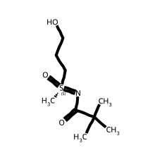 CC(C)(C)C(=O)N=[S@@](C)(=O)CCCO